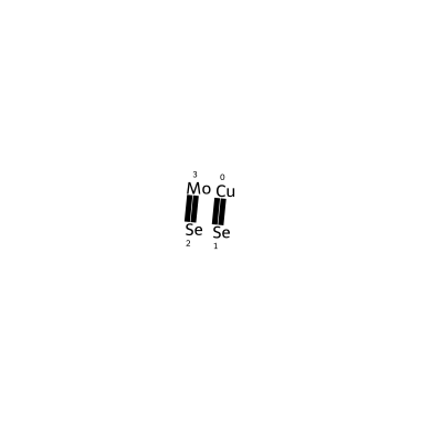 [Cu]=[Se].[Se]=[Mo]